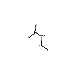 [CH2]N(C)OCC